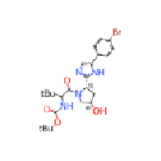 CC(C)(C)OC(=O)NC(C(=O)N1C[C@H](O)C[C@H]1c1ncc(-c2ccc(Br)cc2)[nH]1)C(C)(C)C